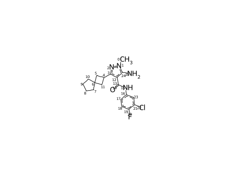 Cn1nc(C2CC3(CCCC3)C2)c(C(=O)Nc2ccc(F)c(Cl)c2)c1N